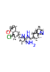 CCCC(=O)c1ccc(-c2ccc(N)c(NCc3ccc4ncccc4c3)n2)cc1Cl